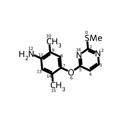 CSc1nccc(Oc2cc(C)c(N)cc2C)n1